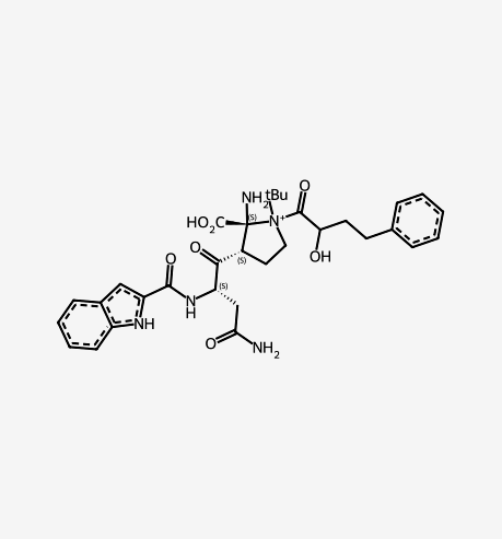 CC(C)(C)[N+]1(C(=O)C(O)CCc2ccccc2)CC[C@H](C(=O)[C@H](CC(N)=O)NC(=O)c2cc3ccccc3[nH]2)[C@@]1(N)C(=O)O